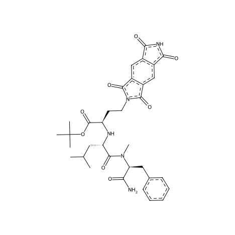 CC(C)C[C@H](N[C@H](CCn1c(=O)c2cc3c(=O)[nH]c(=O)c3cc2c1=O)C(=O)OC(C)(C)C)C(=O)N(C)[C@@H](Cc1ccccc1)C(N)=O